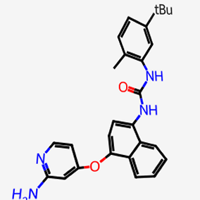 Cc1ccc(C(C)(C)C)cc1NC(=O)Nc1ccc(Oc2ccnc(N)c2)c2ccccc12